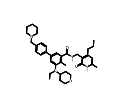 CCCc1cc(C)[nH]c(=O)c1CNC(=O)c1cc(-c2ccc(CN3CCCCC3)cc2)cc(N(CC)C2CCOCC2)c1C